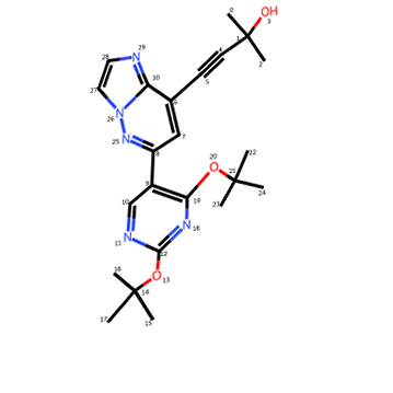 CC(C)(O)C#Cc1cc(-c2cnc(OC(C)(C)C)nc2OC(C)(C)C)nn2ccnc12